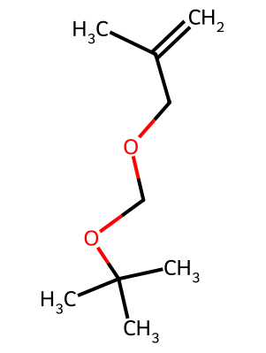 C=C(C)COCOC(C)(C)C